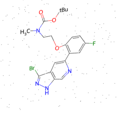 CN(CCOc1ccc(F)cc1-c1cc2c(Br)n[nH]c2cn1)C(=O)OC(C)(C)C